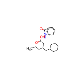 CCCC(CC(=O)O)CC1CCCCC1.O=C1Nc2cccc1c2